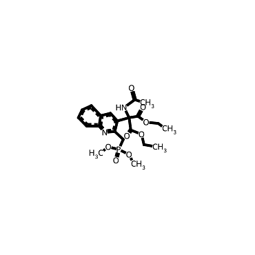 CCOC(=O)C(NC(C)=O)(C(=O)OCC)c1cc2ccccc2nc1CP(=O)(OC)OC